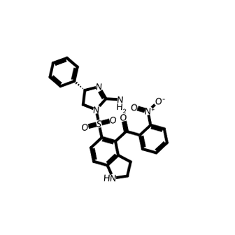 NC1=N[C@@H](c2ccccc2)CN1S(=O)(=O)c1ccc2c(c1C(=O)c1ccccc1[N+](=O)[O-])CCN2